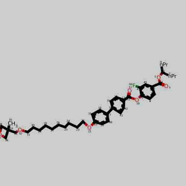 CCCC(CCC)OC(=O)c1ccc(OC(=O)c2ccc(-c3ccc(OCCCCCCCCCCOCC4(C)COC4)cc3)cc2)c(F)c1